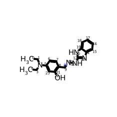 CCN(CC)c1ccc(/C=N/Nc2nc3ccccc3[nH]2)c(O)c1